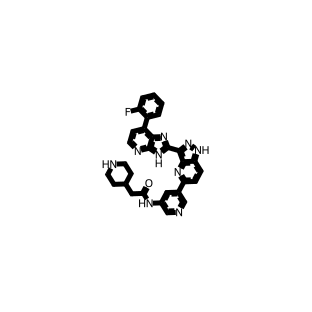 O=C(CC1CCNCC1)Nc1cncc(-c2ccc3[nH]nc(-c4nc5c(-c6ccccc6F)ccnc5[nH]4)c3n2)c1